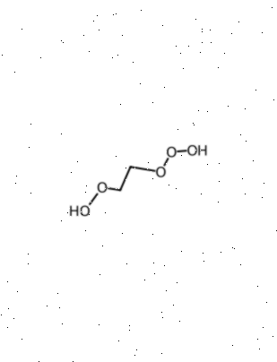 OOCCOOO